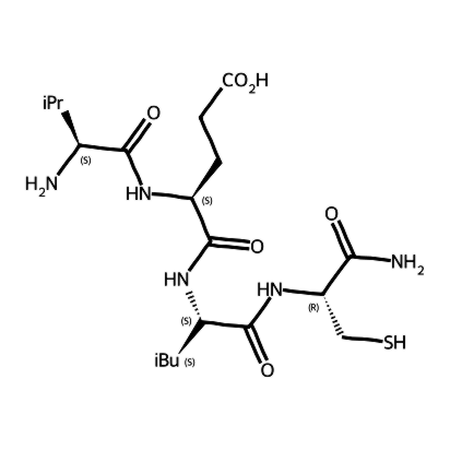 CC[C@H](C)[C@H](NC(=O)[C@H](CCC(=O)O)NC(=O)[C@@H](N)C(C)C)C(=O)N[C@@H](CS)C(N)=O